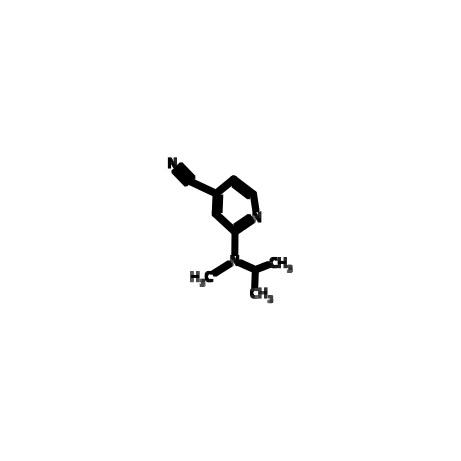 CC(C)N(C)c1cc(C#N)ccn1